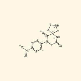 O=C1CN(c2ccc([N+](=O)[O-])cc2)C(=O)C2(CCNC2)N1